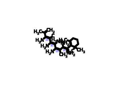 C=C(C)/C(N)=C(C)/C(N)=C(N)/C(N)=C(C)\C(N)=C(/N)C1=C(C)CCCC1(C)C